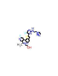 CC(NCCO)c1cnc(F)cc1-c1cccc2cc(-c3nc(NCCn4ccnn4)ncc3F)sc12